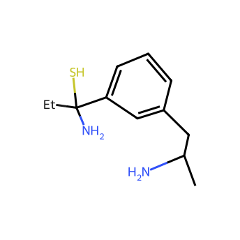 CCC(N)(S)c1cccc(CC(C)N)c1